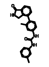 Cc1cccc(NC(=O)Nc2ccc(-c3cccc4c3CNC4=O)c(C)c2)c1